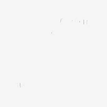 CCCC1CCC(c2ccc(-c3ccc(OC)c(F)c3Cl)cc2)CC1